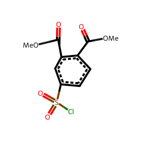 COC(=O)c1ccc(S(=O)(=O)Cl)cc1C(=O)OC